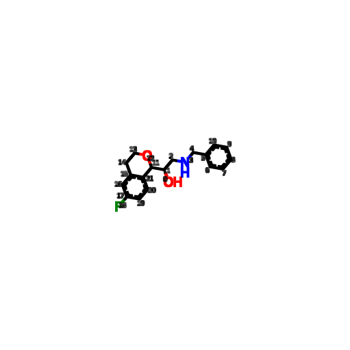 O[C@H](CNCc1ccccc1)C1OCCc2cc(F)ccc21